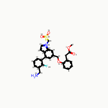 COC(=O)Cc1ccccc1OCc1cc(-c2cccc(CN)c2F)c2ccn(C[SH](=O)=O)c2c1